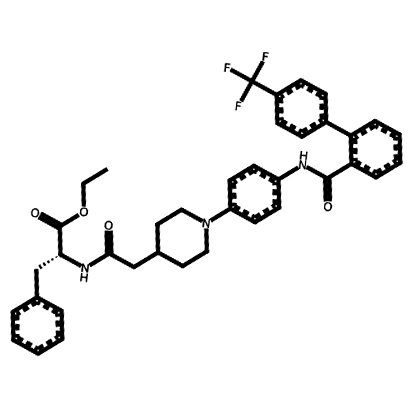 CCOC(=O)[C@@H](Cc1ccccc1)NC(=O)CC1CCN(c2ccc(NC(=O)c3ccccc3-c3ccc(C(F)(F)F)cc3)cc2)CC1